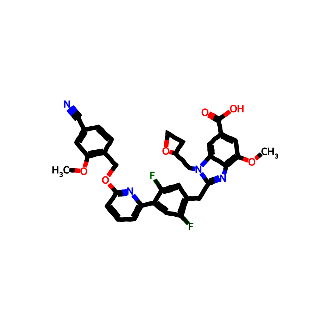 COc1cc(C#N)ccc1COc1cccc(-c2cc(F)c(Cc3nc4c(OC)cc(C(=O)O)cc4n3CC3CCO3)cc2F)n1